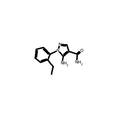 CCc1ccccc1-n1ncc(C(N)=O)c1N